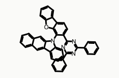 c1ccc(-c2nc(-c3ccccc3)nc(-c3ccc4c(oc5ccccc54)c3-n3c4ccccc4c4cc5ccccc5cc43)n2)cc1